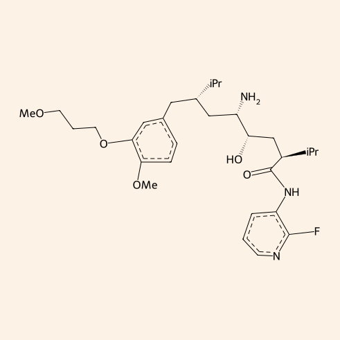 COCCCOc1cc(C[C@@H](C[C@H](N)[C@@H](O)C[C@H](C(=O)Nc2cccnc2F)C(C)C)C(C)C)ccc1OC